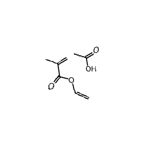 C=COC(=O)C(=C)C.CC(=O)O